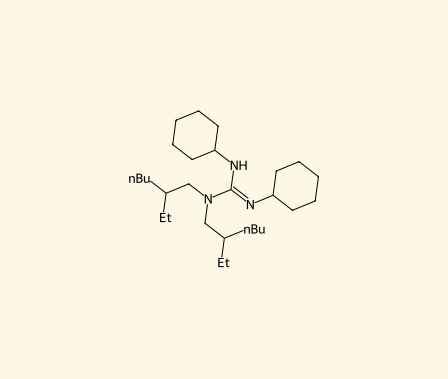 CCCCC(CC)CN(CC(CC)CCCC)/C(=N/C1CCCCC1)NC1CCCCC1